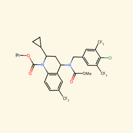 COC(=O)N(Cc1cc(C(F)(F)F)c(Cl)c(C(F)(F)F)c1)C1CC(C2CC2)N(C(=O)OC(C)C)c2ccc(C(F)(F)F)cc21